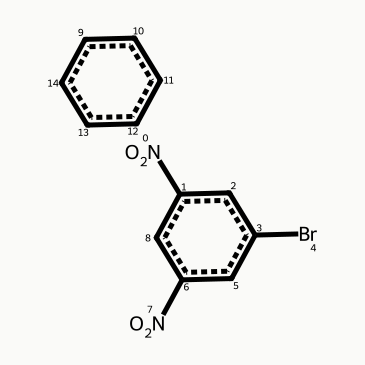 O=[N+]([O-])c1cc(Br)cc([N+](=O)[O-])c1.c1ccccc1